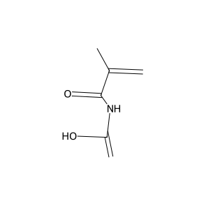 C=C(O)NC(=O)C(=C)C